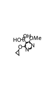 COc1ncnc(OC2CC2)c1B(O)O